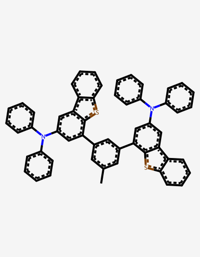 Cc1cc(-c2cc(N(c3ccccc3)c3ccccc3)cc3c2sc2ccccc23)cc(-c2cc(N(c3ccccc3)c3ccccc3)cc3c2sc2ccccc23)c1